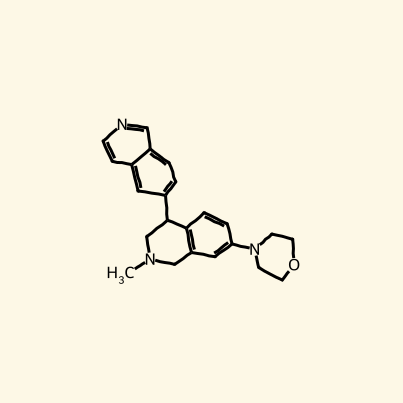 CN1Cc2cc(N3CCOCC3)ccc2C(c2ccc3cnccc3c2)C1